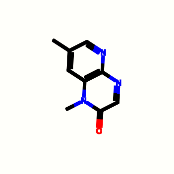 Cc1cnc2ncc(=O)n(C)c2c1